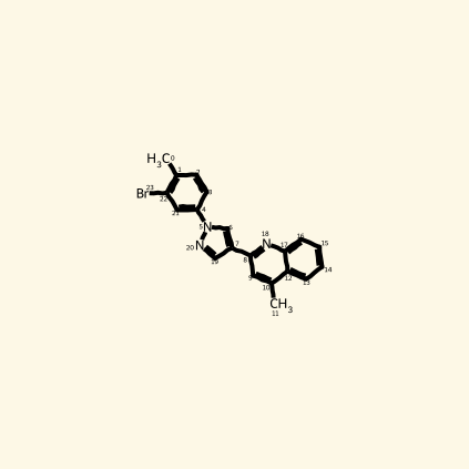 Cc1ccc(-n2cc(-c3cc(C)c4ccccc4n3)cn2)cc1Br